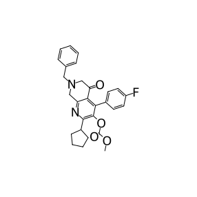 COC(=O)Oc1c(C2CCCC2)nc2c(c1-c1ccc(F)cc1)C(=O)CN(Cc1ccccc1)C2